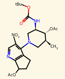 CC(=O)OC1CCc2c1ncc([N+](=O)[O-])c2N1C[C@H](C)[C@@H](OC(C)=O)[C@H](NC(=O)OC(C)(C)C)C1